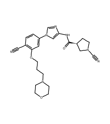 N#Cc1ccc(-n2cnc(NC(=O)[C@H]3CCN(C#N)C3)c2)cc1OCCCN1CCOCC1